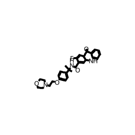 CC(C)(NC(=O)C1=CC2Nc3ccccc3C(=O)C2C=C1F)c1ccc(OCCN2CCOCC2)cc1